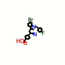 N#CC(=Cc1cn(Cc2ccc(F)cc2)c2cc(Br)ccc12)c1ccc(C(=O)O)cc1